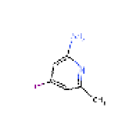 Cc1cc(I)cc(N)n1